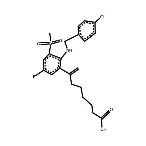 C=C(CCCCCC(=O)O)c1cc(F)cc(S(C)(=O)=O)c1NCc1ccc(Cl)cc1